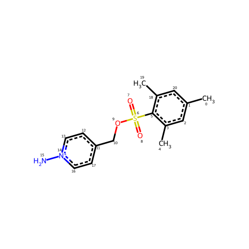 Cc1cc(C)c(S(=O)(=O)OCc2cc[n+](N)cc2)c(C)c1